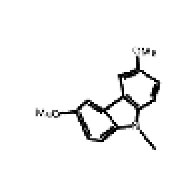 COc1ccc2c(c1)c1cc(OC)ccc1n2C